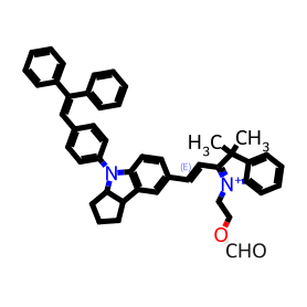 CC1(C)C(/C=C/c2ccc3c(c2)C2CCCC2N3c2ccc(C=C(c3ccccc3)c3ccccc3)cc2)=[N+](CCOC=O)c2ccccc21